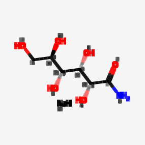 NC(=O)[C@H](O)[C@@H](O)[C@H](O)[C@H](O)CO.[NaH]